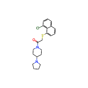 O=C(CSc1cccc2cccc(Cl)c12)N1CCC(N2CCCC2)CC1